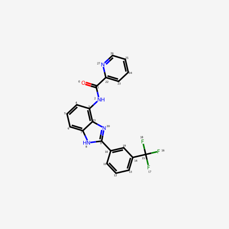 O=C(Nc1cccc2[nH]c(-c3cccc(C(F)(F)F)c3)nc12)c1ccccn1